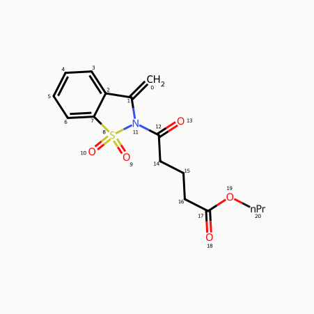 C=C1c2ccccc2S(=O)(=O)N1C(=O)CCCC(=O)OCCC